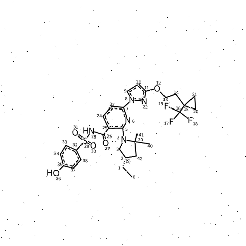 CC[C@@H]1CN(c2nc(-n3ccc(OCCC4(C(F)(F)F)CC4)n3)ccc2C(=O)NS(=O)(=O)c2ccc(O)cc2)C(C)(C)C1